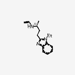 C=CN[C@@H](C)CCc1nc2ccccc2n1CC